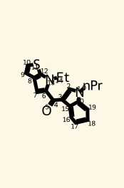 CCCn1cc(C(=O)c2cc3ccsc3n2CC)c2ccccc21